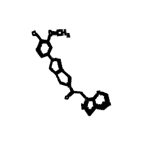 COc1cc(N2C=C3CN(C(=O)Cn4ncc5cccnc54)CC3C2)ccc1Cl